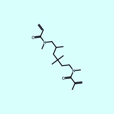 C=CC(=O)N(C)CC(C)CC(C)(C)CCN(C)C(=O)C(=C)C